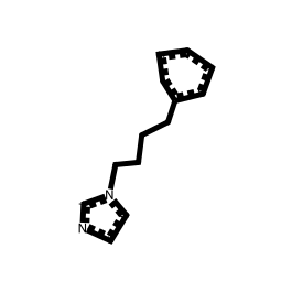 [c]1nccn1CCCCc1ccccc1